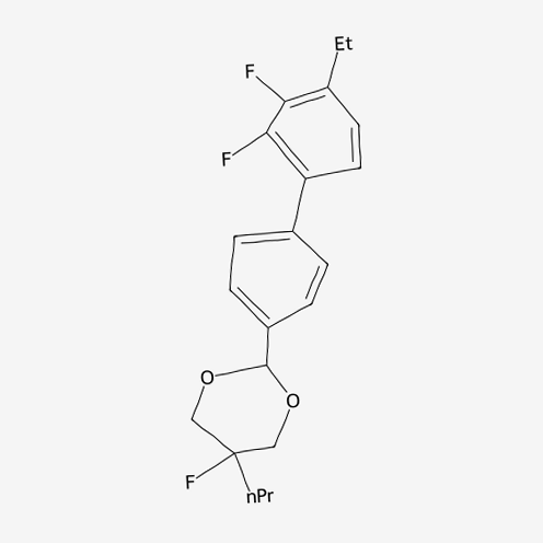 CCCC1(F)COC(c2ccc(-c3ccc(CC)c(F)c3F)cc2)OC1